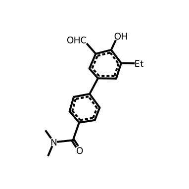 CCc1cc(-c2ccc(C(=O)N(C)C)cc2)cc(C=O)c1O